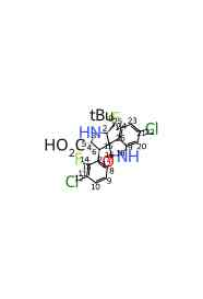 CC(C)(C)C[C@@H]1N[C@@H](C(=O)O)[C@H](c2cccc(Cl)c2F)C12C(=O)Nc1cc(Cl)cc(F)c12